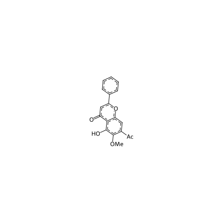 COc1c(C(C)=O)cc2oc(-c3ccccc3)cc(=O)c2c1O